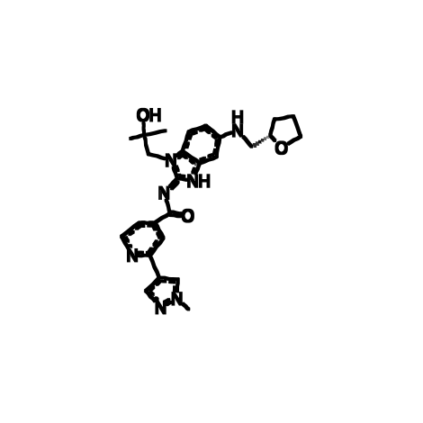 Cn1cc(-c2cc(C(=O)/N=c3\[nH]c4cc(NC[C@@H]5CCCO5)ccc4n3CC(C)(C)O)ccn2)cn1